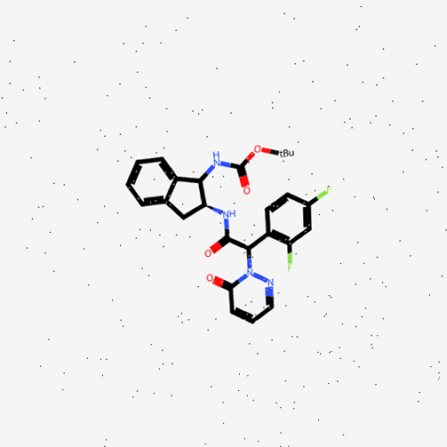 CC(C)(C)OC(=O)NC1c2ccccc2C[C@@H]1NC(=O)C(c1ccc(F)cc1F)n1ncccc1=O